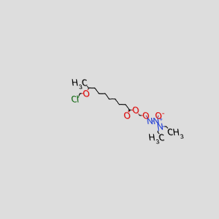 CCN(CC)/[N+]([O-])=N/OCOC(=O)CCCCCCCC(C)OCCl